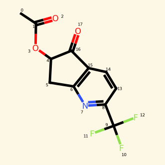 CC(=O)OC1Cc2nc(C(F)(F)F)ccc2C1=O